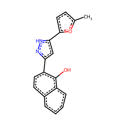 Cc1ccc(-c2cc(-c3ccc4ccccc4c3O)n[nH]2)o1